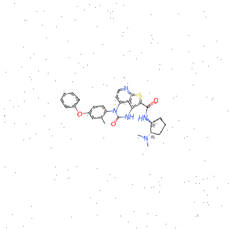 Cc1cc(Oc2ccccc2)ccc1N1C(=O)Nc2c(C(=O)N[C@H]3CCC[C@@H]3N(C)C)sc3nccc1c23